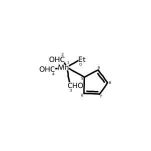 C[CH2][Mn]([CH]=O)([CH]=O)([CH]=O)[CH]1C=CC=C1